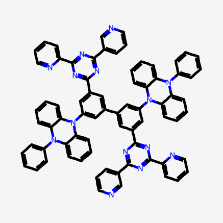 c1ccc(N2c3ccccc3N(c3cc(-c4cc(-c5nc(-c6cccnc6)nc(-c6ccccn6)n5)cc(N5c6ccccc6N(c6ccccc6)c6ccccc65)c4)cc(-c4nc(-c5cccnc5)nc(-c5ccccn5)n4)c3)c3ccccc32)cc1